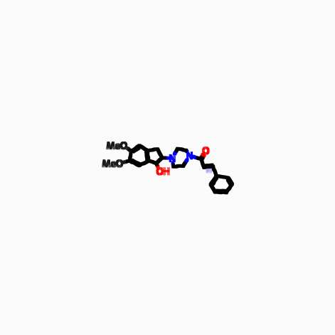 COc1cc2c(cc1OC)C(O)C(N1CCN(C(=O)/C=C/c3ccccc3)CC1)C2